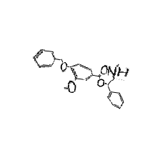 CN[C@H](C)[C@H](OC(=O)c1ccc(OCc2ccccc2)c(OC)c1)c1ccccc1